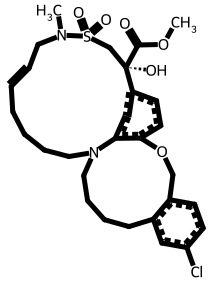 COC(=O)[C@]1(O)CS(=O)(=O)N(C)C/C=C/CCCCN2CCCCc3cc(Cl)ccc3COc3ccc1cc32